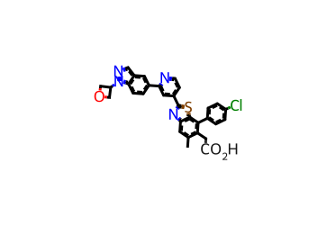 Cc1cc2nc(-c3ccnc(-c4ccc5c(cnn5C5COC5)c4)c3)sc2c(-c2ccc(Cl)cc2)c1CC(=O)O